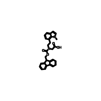 Cn1ccc2cccc(CCN(CC(=O)O)C(=O)OCC3c4ccccc4-c4ccccc43)c21